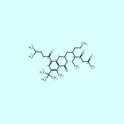 CCCC(CC1CC(=O)c2c(C)c(C(C)(C)C)cc(C(=O)CCC(C)C)c2C1)C(CC)C(=O)CC(C)=O